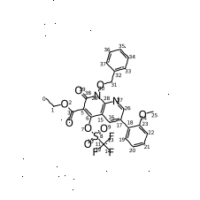 CCOC(=O)c1c(OS(=O)(=O)C(F)(F)F)c2cc(-c3ccccc3OC)cnc2n(OCc2ccccc2)c1=O